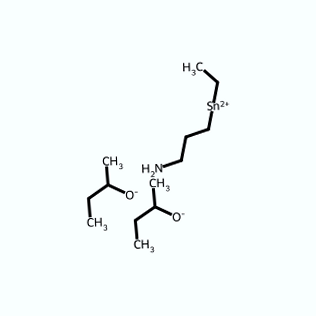 CCC(C)[O-].CCC(C)[O-].C[CH2][Sn+2][CH2]CCN